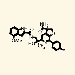 COc1cccc2[nH]c(C(=O)NC[C@](O)(c3cc4c(c(-c5ccc(F)cc5)n3)OC[C@]4(C)C(N)=O)C(F)(F)F)cc12